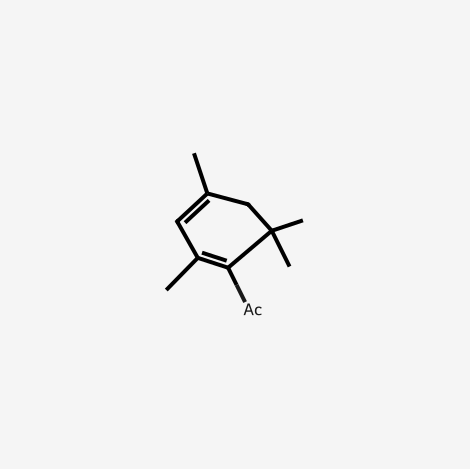 CC(=O)C1=C(C)C=C(C)CC1(C)C